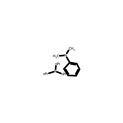 CCCN(CCC)CCC.CN(C)c1ccccc1